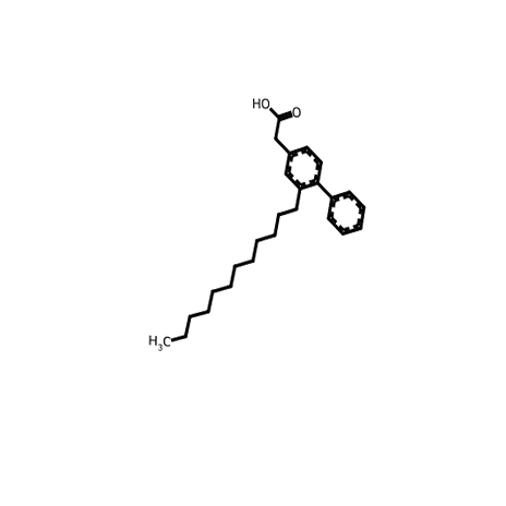 CCCCCCCCCCCCc1cc(CC(=O)O)ccc1-c1ccccc1